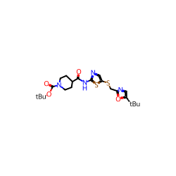 CC(C)(C)OC(=O)N1CCC(C(=O)Nc2ncc(SCc3ncc(C(C)(C)C)o3)s2)CC1